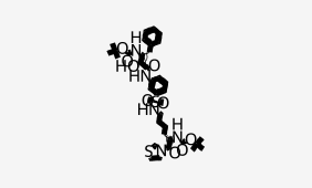 CC(C)(C)OC(=O)N[C@@H](CCCCNS(=O)(=O)c1cccc(NC(=O)[C@@H](O)[C@@H](Cc2ccccc2)NC(=O)OC(C)(C)C)c1)C(=O)N1CCSC1